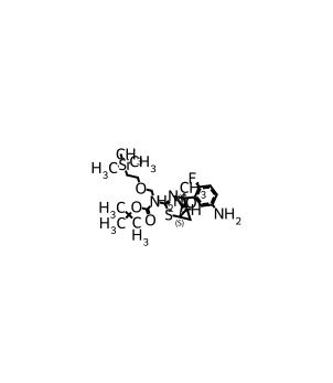 CC(C)(C)OC(=O)N(COCC[Si](C)(C)C)C1=N[C@](C)(c2cc(N)ccc2F)[C@@H]2C[C@]2(C(N)=O)S1